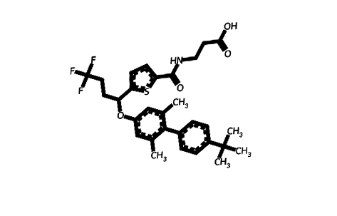 Cc1cc(OC(CCC(F)(F)F)c2ccc(C(=O)NCCC(=O)O)s2)cc(C)c1-c1ccc(C(C)(C)C)cc1